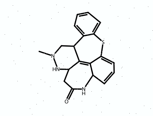 CN1CC2C3=C4C(=CC=CC4NC(=O)CC3N1)Sc1ccccc12